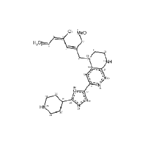 C=C/C=C(Cl)\C=C(/COC)CN1CCNc2nnc(-c3nnc(C4CCNCC4)o3)cc21